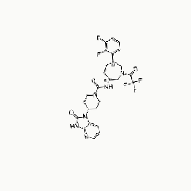 O=C(N[C@@H]1CC[C@@H](c2cccc(F)c2F)CN(C(=O)C(F)(F)F)C1)N1CCC(n2c(=O)[nH]c3ncccc32)CC1